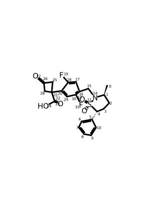 C[C@H]1CC[C@H](c2ccccc2)S(=O)(=O)N1Cc1cc(F)c(C2(C(=O)O)CC(=O)C2)cc1F